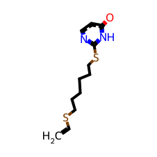 C=CSCCCCCCSc1nccc(=O)[nH]1